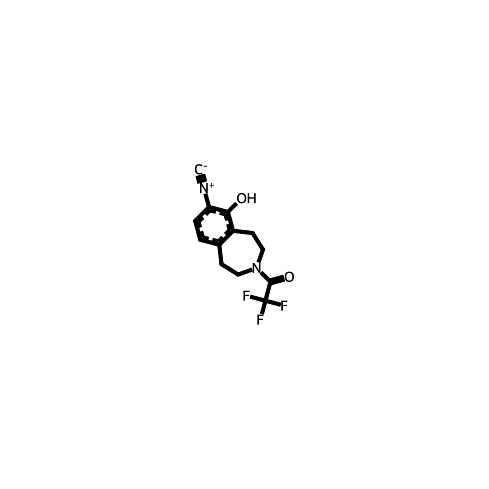 [C-]#[N+]c1ccc2c(c1O)CCN(C(=O)C(F)(F)F)CC2